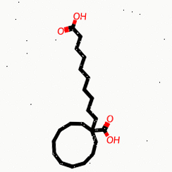 O=C(O)CCCCCCCCCC1(C(=O)O)CCCCCCCCCC1